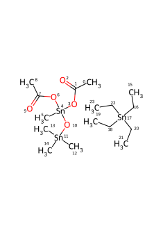 CC(=O)[O][Sn]([CH3])([O]C(C)=O)[O][Sn]([CH3])([CH3])[CH3].C[CH2][Sn]([CH2]C)([CH2]C)[CH2]C